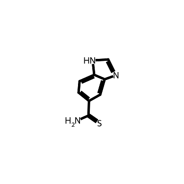 NC(=S)c1ccc2[nH]cnc2c1